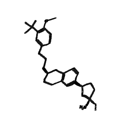 CC[C@@]1(N)CC[C@H](c2ccc3c(c2)CC[C@@H](CCCc2ccc(OC)c(C(C)(C)C)c2)C3)C1